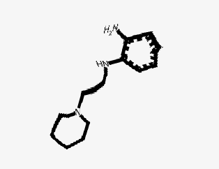 Nc1c[c]ccc1NCCN1CCCCC1